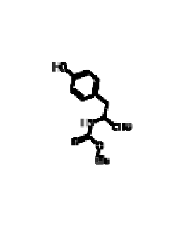 CC(C)(C)OC(=O)NC(C=O)Cc1ccc(O)cc1